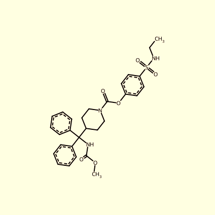 CCNS(=O)(=O)c1ccc(OC(=O)N2CCC(C(NC(=O)OC)(c3ccccc3)c3ccccc3)CC2)cc1